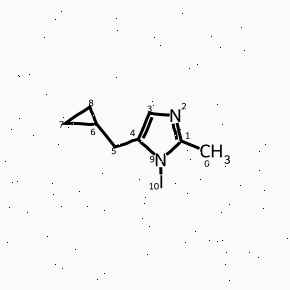 Cc1ncc(CC2CC2)n1I